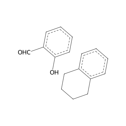 O=Cc1ccccc1O.c1ccc2c(c1)CCCC2